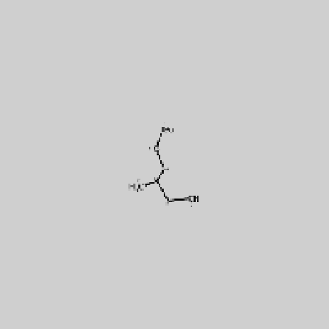 C[C@H](CC#N)COC(C)(C)C